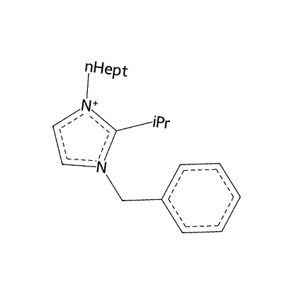 CCCCCCC[n+]1ccn(Cc2ccccc2)c1C(C)C